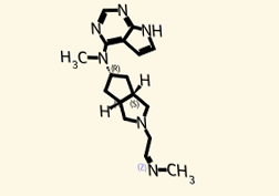 C/N=C\CN1C[C@H]2C[C@@H](N(C)c3ncnc4[nH]ccc34)C[C@H]2C1